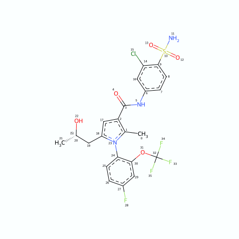 Cc1c(C(=O)Nc2ccc(S(N)(=O)=O)c(Cl)c2)cc(C[C@H](C)O)n1-c1ccc(F)cc1OC(F)(F)F